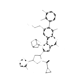 Cc1nc2c(F)c(-c3cccc(Cl)c3Cl)c(CCC#N)cc2c2c1cc(C1CC(n3nncc3C)CN1C(=O)C1CC1)n2C1C2CNC1C2